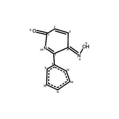 O=C1C=CC(=NO)C(c2ccccc2)=N1